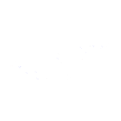 COC(=O)N[C@H](C(=O)N1CCC[C@H]1c1nc(-c2ccc(-c3ccc(-c4ccc(-c5nc([C@@H]6CCCN6C(=O)[C@@H](NC(=O)OC)C(C)C)[nH]c5Br)cc4)n3-c3ccc(C4CC4)cc3)cc2)c(Br)[nH]1)C(C)C